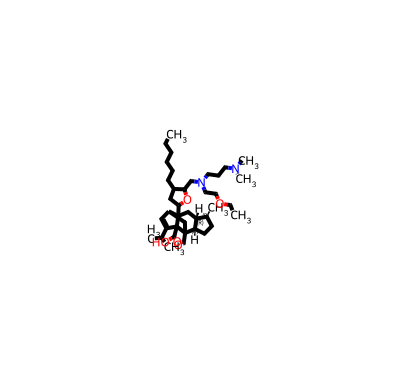 CCCCCCC1CC(C23C[C@@H]4[C@H](C)CC[C@H]4C4(C=O)CC2C=C(C(C)C)C34C(=O)O)OC1CN(CCCN(C)C)CCOCC